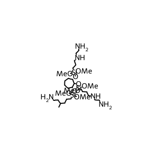 CO[Si](CCCNCCN)(OC)OC1CCCCC(O[Si](CCCC(C)CCN)(OC)OC)C1O[Si](CCCNCCN)(OC)OC